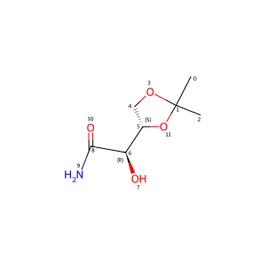 CC1(C)OC[C@@H]([C@@H](O)C(N)=O)O1